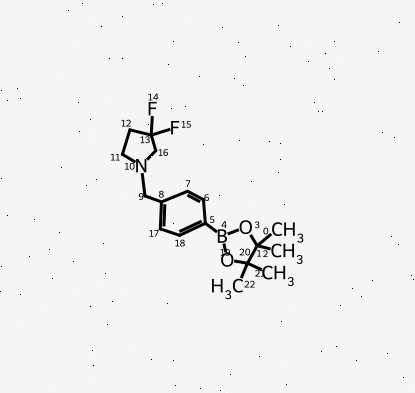 CC1(C)OB(c2ccc(CN3CCC(F)(F)C3)cc2)OC1(C)C